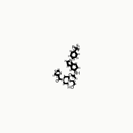 O=C(C[C@H](CO)N1CCN(C(=O)c2cscn2)CC1)Nc1ccc2c(ccn2-c2ccc(C(F)(F)F)cc2)c1